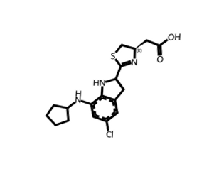 O=C(O)C[C@@H]1CSC(C2Cc3cc(Cl)cc(NC4CCCC4)c3N2)=N1